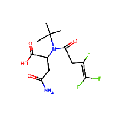 CC(C)(C)N(C(=O)CC(F)=C(F)F)[C@@H](CC(N)=O)C(=O)O